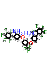 Nc1cc(Oc2ccc(C(F)(F)F)c(Oc3ccc(-c4c(F)c(F)c(F)c(F)c4F)c(N)c3)c2)ccc1-c1c(F)c(F)c(F)c(F)c1F